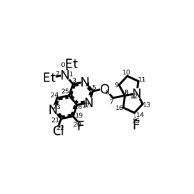 CCN(CC)c1nc(OCC23CCCN2C[C@H](F)C3)nc2c(F)c(Cl)ncc12